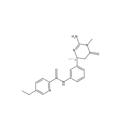 CCc1ccc(C(=O)Nc2cccc([C@]3(C)CC(=O)N(C)C(N)=N3)c2)nc1